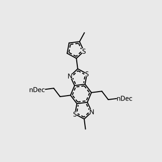 CCCCCCCCCCCCc1c2nc(-c3ccc(C)s3)sc2c(CCCCCCCCCCCC)c2nc(C)sc12